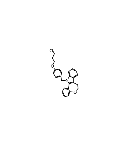 ClCCCOc1ccc(Cn2c3c(c4ccccc42)CCOc2ccccc2-3)cc1